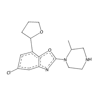 CC1CNCCN1c1nc2cc(Cl)cc(C3CCCO3)c2o1